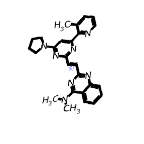 Cc1cccnc1-c1cc(N2CCCC2)nc(/C=C/c2nc(N(C)C)c3ccccc3n2)n1